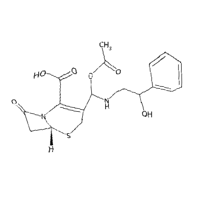 CC(=O)OC(NCC(O)c1ccccc1)C1=C(C(=O)O)N2C(=O)C[C@H]2SC1